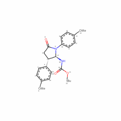 COc1ccc([C@@H]2CC(=O)N(c3ccc(OC)cc3)[C@H]2NC(=O)OC(C)(C)C)cc1